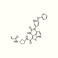 C=CC(=O)N[C@H]1CCC(NC(=O)c2sc3nccc4c3c2NC(=O)N4c2ccc(Oc3ccccc3)nc2)C1